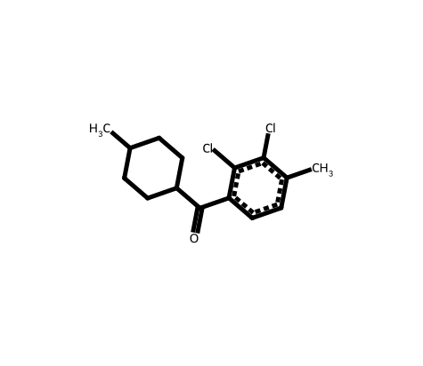 Cc1ccc(C(=O)C2CCC(C)CC2)c(Cl)c1Cl